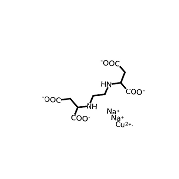 O=C([O-])CC(NCCNC(CC(=O)[O-])C(=O)[O-])C(=O)[O-].[Cu+2].[Na+].[Na+]